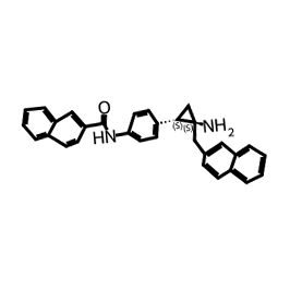 N[C@]1(Cc2ccc3ccccc3c2)C[C@H]1c1ccc(NC(=O)c2ccc3ccccc3c2)cc1